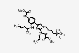 C=CCC(Nc1cc(NC(=O)OC)ccc1-c1cn(COCC[Si](C)(C)C)c([C@H](CC=C)NC(=O)OC(C)(C)C)n1)C(F)(F)F